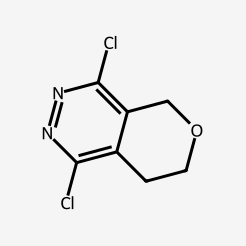 Clc1nnc(Cl)c2c1CCOC2